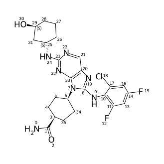 NC(=O)[C@H]1CC[C@@H](n2c(Nc3c(F)cc(F)cc3Cl)nc3cnc(N[C@H]4CCC[C@H](O)C4)nc32)CC1